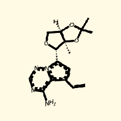 C=Cc1cc([C@@H]2OC[C@H]3OC(C)(C)O[C@]32C)n2ncnc(N)c12